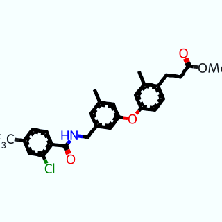 COC(=O)CCc1ccc(Oc2cc(C)cc(CNC(=O)c3ccc(C(F)(F)F)cc3Cl)c2)cc1C